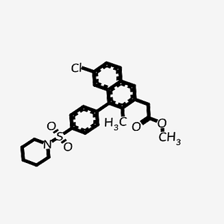 COC(=O)Cc1cc2ccc(Cl)cc2c(-c2ccc(S(=O)(=O)N3CCCCC3)cc2)c1C